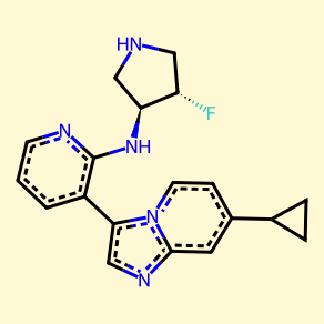 F[C@H]1CNC[C@@H]1Nc1ncccc1-c1cnc2cc(C3CC3)ccn12